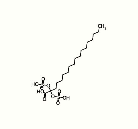 CCCCCCCCCCCCCCCCC(OS(=O)(=O)O)(OS(=O)(=O)O)C(=O)O